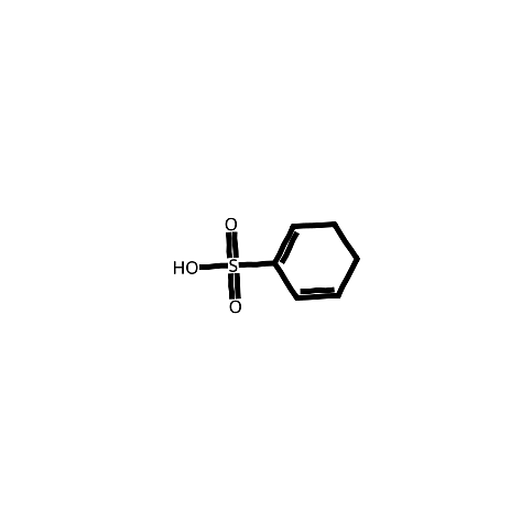 O=S(=O)(O)C1=CCCC=C1